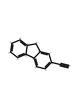 [C]#Cc1ccc2c(c1)Cc1ccccc1-2